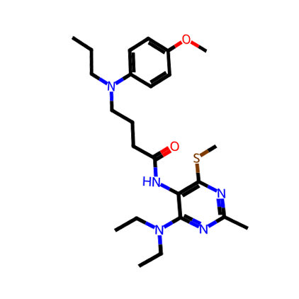 CCCN(CCCC(=O)Nc1c(SC)nc(C)nc1N(CC)CC)c1ccc(OC)cc1